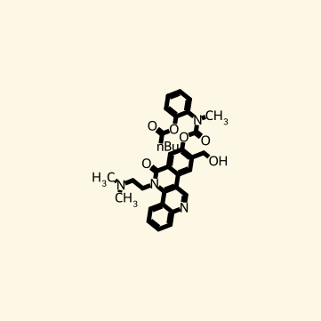 CCCCC(=O)Oc1ccccc1N(C)C(=O)Oc1cc2c(=O)n(CCN(C)C)c3c4ccccc4ncc3c2cc1CO